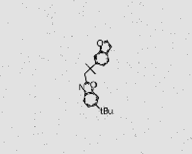 CC(C)(C)c1ccc2nc(CC(C)(C)c3ccc4ccoc4c3)oc2c1